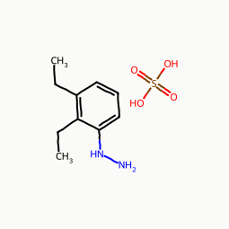 CCc1cccc(NN)c1CC.O=S(=O)(O)O